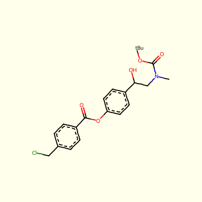 CN(CC(O)c1ccc(OC(=O)c2ccc(CCl)cc2)cc1)C(=O)OC(C)(C)C